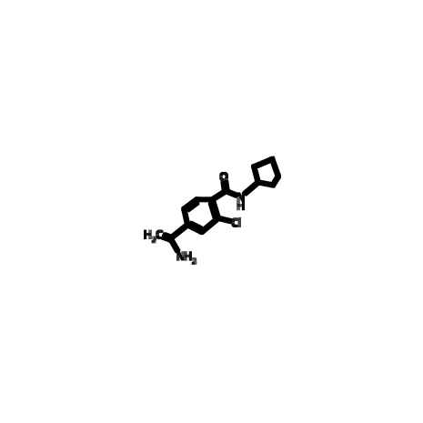 C=C(N)c1ccc(C(=O)NC2CCCC2)c(Cl)c1